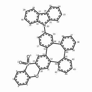 O=S1(=O)c2ccccc2Oc2cc3c(cc21)-c1ccc(-n2c4ccccc4c4ccccc42)cc1-c1ccccc1-c1cccnc1-3